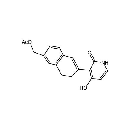 CC(=O)OCc1ccc2c(c1)CCC(c1c(O)cc[nH]c1=O)=C2